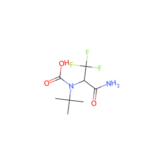 CC(C)(C)N(C(=O)O)C(C(N)=O)C(F)(F)F